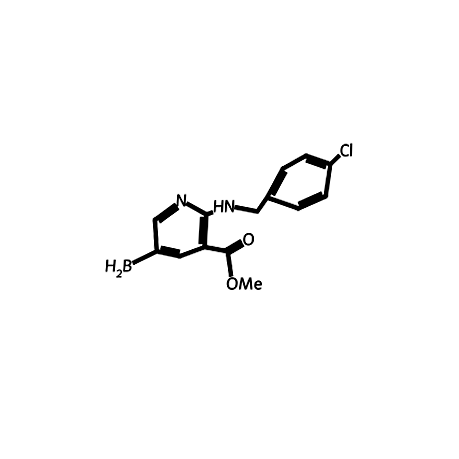 Bc1cnc(NCc2ccc(Cl)cc2)c(C(=O)OC)c1